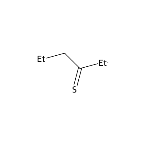 [CH2]CCC(=S)[CH]C